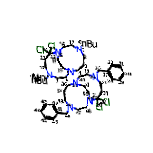 CCCCN1CCCN2CCN(CCCC)CCC(Cl)(Cl)N(CC1)CC2.ClC1(Cl)CCN(Cc2ccccc2)CCN2CCCN(Cc3ccccc3)CCN1CC2.[Mn]